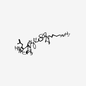 C=C(C)Cc1[nH]nc(C(F)(F)F)c1-c1cnc(C(=O)NCc2ccc(C(=O)NCCCCCN)c(Cl)c2)[nH]1